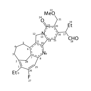 CCC1=C2CCCc3c(c(nc4c3Cn3c-4cc(C(C=O)CC)c(COC)c3=O)C=C1F)C2